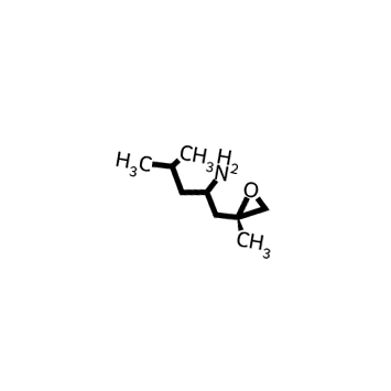 CC(C)CC(N)C[C@@]1(C)CO1